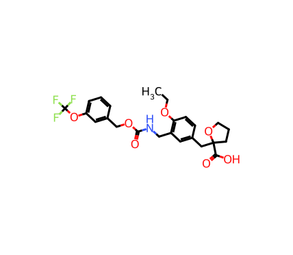 CCOc1ccc(CC2(C(=O)O)CCCO2)cc1CNC(=O)OCc1cccc(OC(F)(F)F)c1